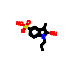 CCCn1c(O)c(C)c2cc(S(=O)(=O)O)ccc21